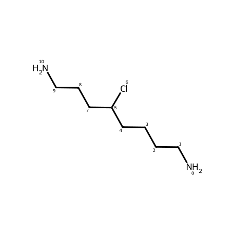 NCCCCC(Cl)CCCN